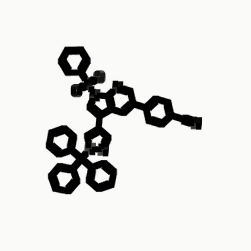 N#Cc1ccc(-c2cnc3c(c2)c(-c2cnn(C(c4ccccc4)(c4ccccc4)c4ccccc4)c2)cn3S(=O)(=O)c2ccccc2)cc1